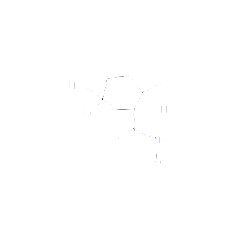 CCNC(=O)[C@@]1(C)CC(C)(C)CCC1C(C)C